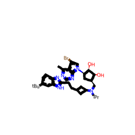 Cc1ncnc2c1c(Br)cn2[C@@H]1C[C@H](CN(C(C)C)C2CC(CCc3nc4ccc(C(C)(C)C)cc4[nH]3)C2)[C@@H](O)[C@H]1O